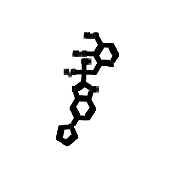 COc1ccnc(CC(C)(O)c2nc3cc(-n4cccc4)ccc3[nH]2)c1OC